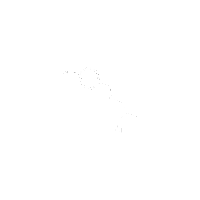 CC(CO)COCc1ccc(Br)cc1